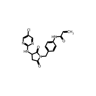 C=CC(=O)Nc1ccc(CN2C(=O)CC(Nc3ncc(Cl)cn3)C2=O)cc1